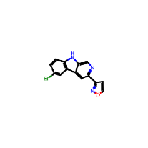 Brc1ccc2[nH]c3cnc(-c4ccon4)cc3c2c1